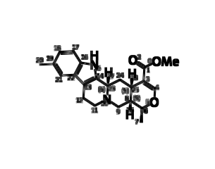 COC(=O)C1=CO[C@@H](C)[C@@H]2CN3CCc4c([nH]c5ccc(C)cc45)[C@@H]3C[C@H]12